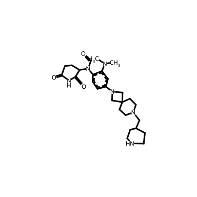 CN(C)c1cc(N2CC3(CCN(CC4CCNCC4)CC3)C2)ccc1N(C=O)C1CCC(=O)NC1=O